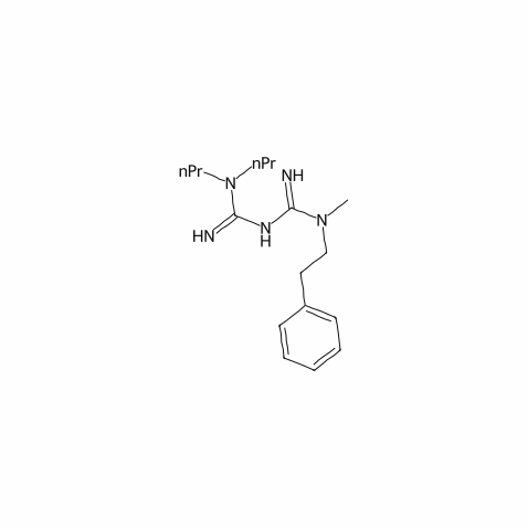 CCCN(CCC)C(=N)NC(=N)N(C)CCc1ccccc1